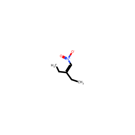 CCC(=C[N+](=O)[O-])CC